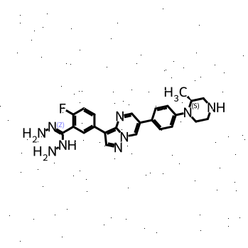 C[C@H]1CNCCN1c1ccc(-c2cnc3c(-c4ccc(F)c(/C(=N/N)NN)c4)cnn3c2)cc1